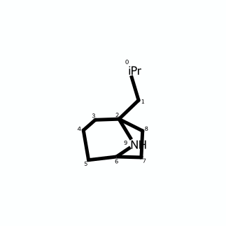 CC(C)CC12CCCC(CC1)N2